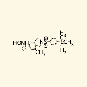 Cc1cc(C(=O)NO)cc2c1CN(S(=O)(=O)c1ccc(C(C)(C)C)cc1)CC2